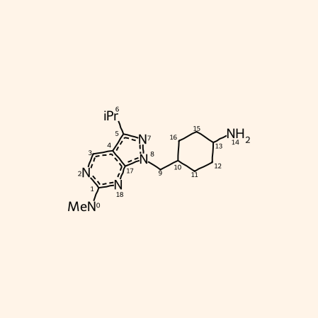 CNc1ncc2c(C(C)C)nn(CC3CCC(N)CC3)c2n1